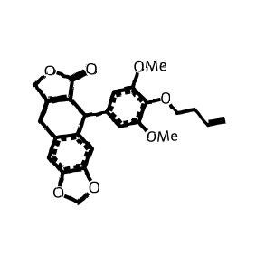 C=CCCOc1c(OC)cc(C2C3=C(COC3=O)Cc3cc4c(cc32)OCO4)cc1OC